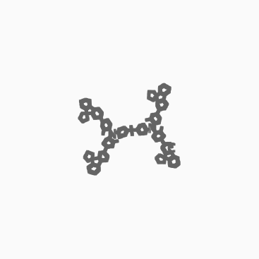 Cc1cc(-c2ccc3c(c2)C2(CCCC2)c2ccccc2-3)ccc1N(c1ccc(C(C)(C)c2ccc(N(c3ccc(-c4ccc5c(c4)C4(CCCC4)c4ccccc4-5)cc3C)c3ccc(-c4ccc5c(c4)C4(CCCC4)c4ccccc4-5)cc3C)cc2)cc1)c1ccc(-c2ccc3c(c2)C2(CCCC2)c2ccccc2-3)cc1C